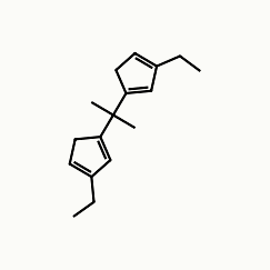 CCC1=CCC(C(C)(C)C2=CC(CC)=CC2)=C1